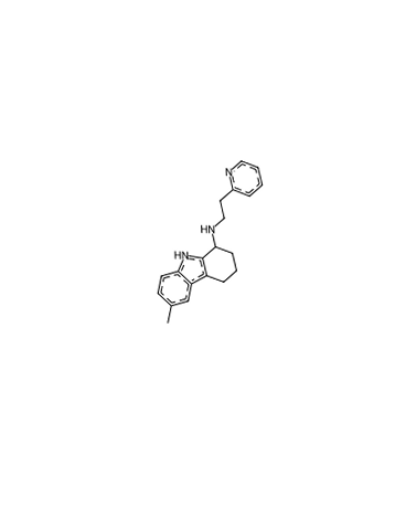 Cc1ccc2[nH]c3c(c2c1)CCCC3NCCc1ccccn1